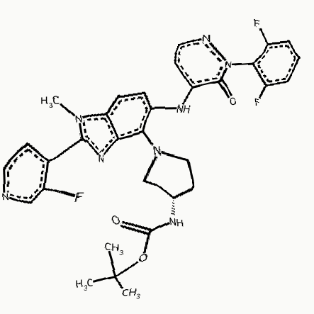 Cn1c(-c2ccncc2F)nc2c(N3CC[C@H](NC(=O)OC(C)(C)C)C3)c(Nc3ccnn(-c4c(F)cccc4F)c3=O)ccc21